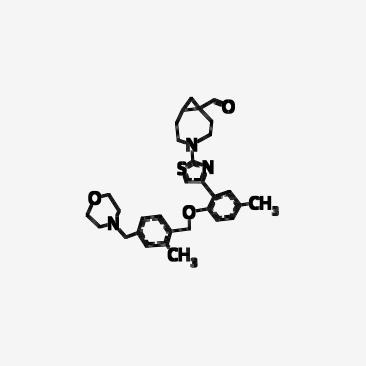 Cc1ccc(OCc2ccc(CN3CCOCC3)cc2C)c(-c2csc(N3CCC4CC4(C=O)CC3)n2)c1